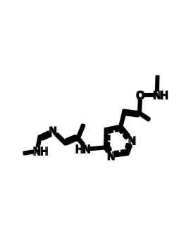 CN/C=N\C=C(/C)Nc1cc(/C=C(\C)ONC)ncn1